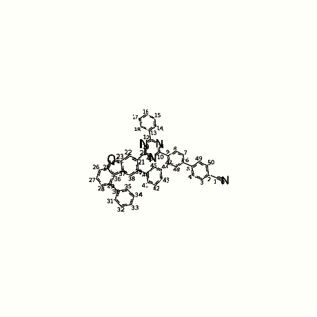 N#Cc1ccc(-c2ccc(-c3nc(-c4ccccc4)nc(-c4cc5oc6cccc(-c7ccccc7)c6c5cc4-c4ccccc4)n3)cc2)cc1